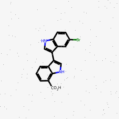 O=C(O)c1cccc2c(-c3c[nH]c4ccc(Br)cc34)c[nH]c12